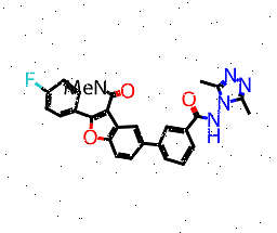 CNC(=O)c1c(-c2ccc(F)cc2)oc2ccc(-c3cccc(C(=O)Nn4c(C)nnc4C)c3)cc12